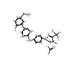 CC(=O)C[C@H]1[C@H](C)C(C(F)(F)F)=NN1c1ccc(Oc2ncc(-c3cc(CO)ccc3F)cn2)cc1